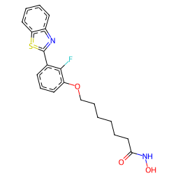 O=C(CCCCCCOc1cccc(-c2nc3ccccc3s2)c1F)NO